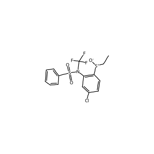 CC[S+]([O-])c1ccc(Cl)cc1N(C(F)(F)F)S(=O)(=O)c1ccccc1